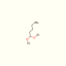 CCOC(CCCC(C)(C)C)OCC